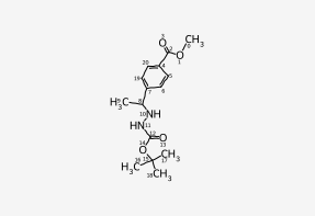 COC(=O)c1ccc(C(C)NNC(=O)OC(C)(C)C)cc1